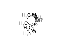 CCC1C(=O)C(C)(C)C(O)CC(=O)OC(C(C)=Cc2coc(CN)n2)CC=C(C)CCCC(C)C1O